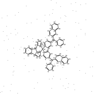 c1ccc(N(c2ccc3c(c2)-c2cc(N(c4ccccc4)c4ccc5ccccc5c4)ccc2C32c3ccccc3-n3c4ccccc4c4cccc2c43)c2ccc3ccccc3c2)cc1